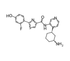 N[C@H]1CCC[C@@H](c2ccncc2NC(=O)c2csc(-c3ccc(O)cc3F)n2)C1